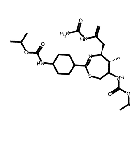 C=C(C[C@@H]1N=C(C2CCC(NC(=O)OC(C)C)CC2)SCC(NC(=O)OC(C)C)[C@H]1C)NC(N)=O